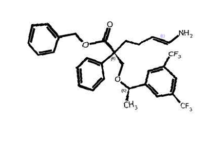 C[C@@H](OC[C@](CC/C=C/N)(C(=O)OCc1ccccc1)c1ccccc1)c1cc(C(F)(F)F)cc(C(F)(F)F)c1